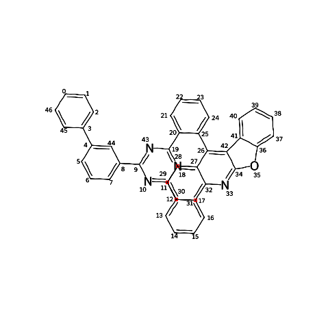 c1ccc(-c2cccc(-c3nc(-c4ccccc4)nc(-c4ccccc4-c4c5ccccc5nc5oc6ccccc6c45)n3)c2)cc1